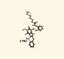 CCCn1c(=O)c2c(nc(Cc3ccccc3)n2CCNCC)n(CCc2ccccc2NC(=O)CCCCCN)c1=O